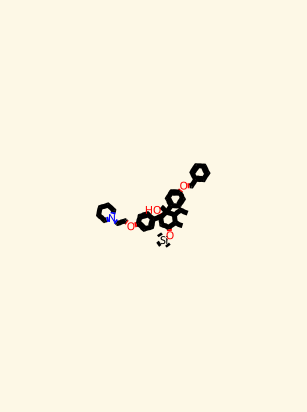 CCC1C(C)C(O[Si](C)(C)C)CC(O)(c2ccc(OCCN3CCCCC3)cc2)C1(C)c1ccc(OCc2ccccc2)cc1